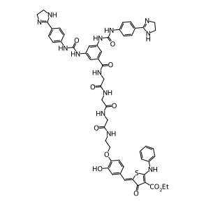 CCOC(=O)C1=C(Nc2ccccc2)S/C(=C\c2ccc(OCCNC(=O)CNC(=O)CNC(=O)CNC(=O)c3cc(NC(=O)Nc4ccc(C5=NCCN5)cc4)cc(NC(=O)Nc4ccc(C5=NCCN5)cc4)c3)c(O)c2)C1=O